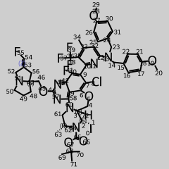 CC[C@H]1[C@H]2COc3c(Cl)c(-c4nc(N(Cc5ccc(OC)cc5)Cc5ccc(OC)cc5)cc(C)c4C(F)(F)F)c(F)c4nc(OC[C@@]56CCCN5C/C(=C\F)C6)nc(c34)N2C[C@@H](C)N1C(=O)OC(C)(C)C